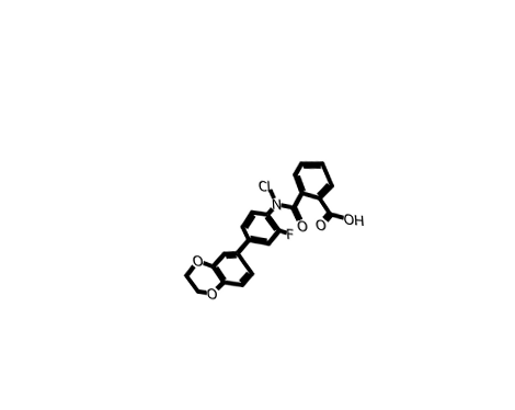 O=C(O)c1ccccc1C(=O)N(Cl)c1ccc(-c2ccc3c(c2)OCCO3)cc1F